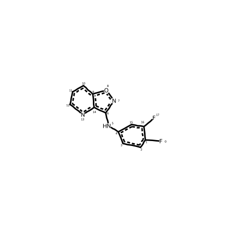 Fc1ccc(Nc2noc3cccnc23)cc1F